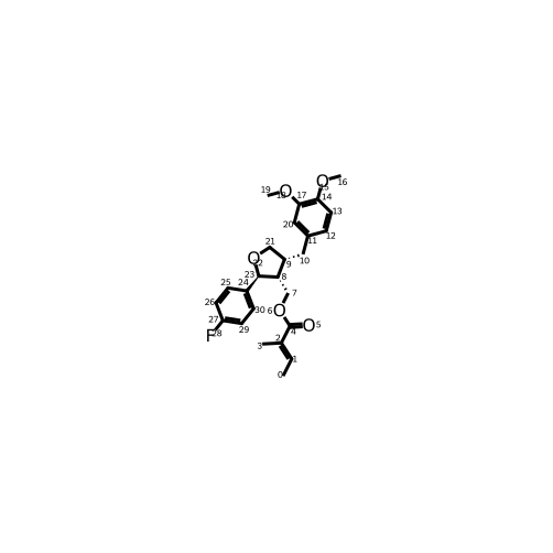 C/C=C(\C)C(=O)OC[C@H]1[C@@H](Cc2ccc(OC)c(OC)c2)CO[C@@H]1c1ccc(F)cc1